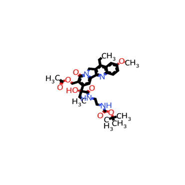 CCc1c2c(nc3ccc(OC)cc13)-c1cc([C@@](O)(CC)C(=O)NCCNC(=O)OC(C)(C)C)c(COC(C)=O)c(=O)n1C2